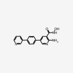 Nc1ncc(-c2ccc(-c3cccnc3)cc2)cc1C(=O)NO